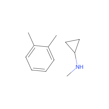 CNC1CC1.Cc1ccccc1C